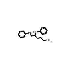 CCCCC(CPc1ccccc1)Pc1ccccc1